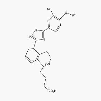 CC(C)Oc1ccc(-c2nc(-c3cccc4c3CCN=C4CCCC(=O)O)no2)cc1C#N